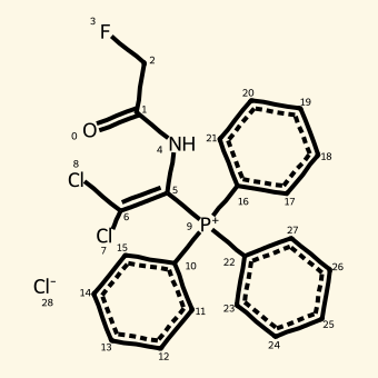 O=C(CF)NC(=C(Cl)Cl)[P+](c1ccccc1)(c1ccccc1)c1ccccc1.[Cl-]